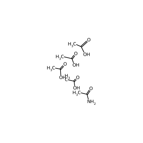 CC(=O)O.CC(=O)O.CC(=O)O.CC(=O)O.CC(N)=O